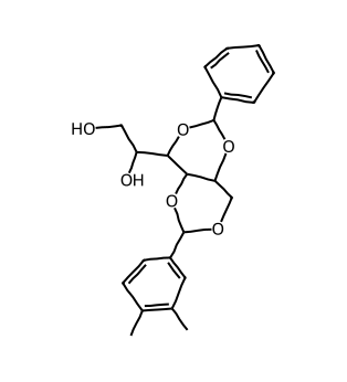 Cc1ccc(C2OCC3OC(c4ccccc4)OC(C(O)CO)C3O2)cc1C